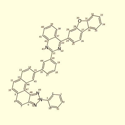 c1ccc(-n2nc3ccc4ccc5ccc(-c6cccc(-c7nc(-c8ccc9c(c8)oc8ccccc89)c8ccccc8n7)c6)cc5c4c3n2)cc1